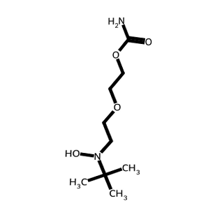 CC(C)(C)N(O)CCOCCOC(N)=O